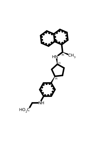 C[C@@H](N[C@H]1CC[C@@H](c2ccc(NCC(=O)O)cc2)C1)c1cccc2ccccc12